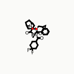 CN1C(=O)N(CC2CC2)C2(CC3CCC(C2)N3CC[C@H](NC(=O)C2CCC(F)(F)CC2)c2ccccc2)C1=O